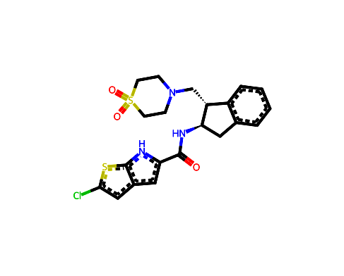 O=C(N[C@@H]1Cc2ccccc2[C@H]1CN1CCS(=O)(=O)CC1)c1cc2cc(Cl)sc2[nH]1